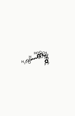 COC(=O)N/C=C/CCCc1cc(O)c(C(=O)C(C)=Cc2cnc(Oc3ccc(F)c(F)c3)s2)c(=O)o1